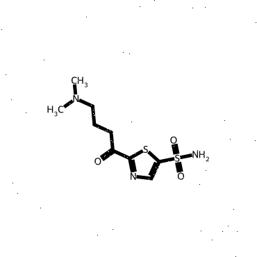 CN(C)CCCC(=O)c1ncc(S(N)(=O)=O)s1